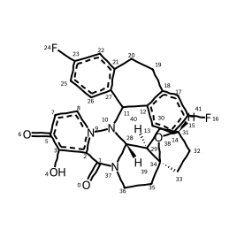 O=C1c2c(O)c(=O)ccn2N(C2c3ccc(F)cc3CCc3cc(F)ccc32)[C@@H]2[C@H]3C[C@@H]4CC[C@@]3(CCN12)O4